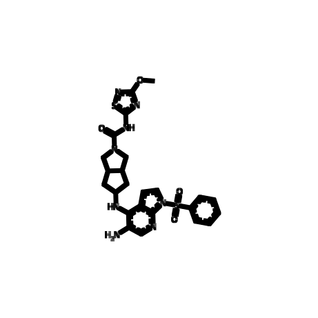 COc1nsc(NC(=O)N2CC3CC(Nc4c(N)cnc5c4ccn5S(=O)(=O)c4ccccc4)CC3C2)n1